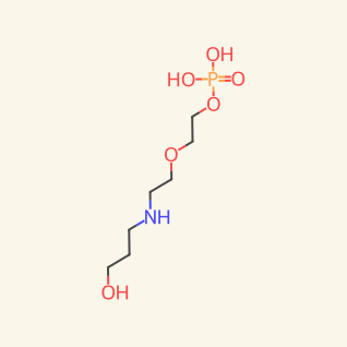 O=P(O)(O)OCCOCCNCCCO